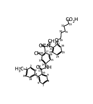 Cc1ccc(-c2ccccc2C(=O)Nc2ccc(C(=O)N(C)c3ccccc3OCCCCCC(=O)O)c(Cl)c2)cc1